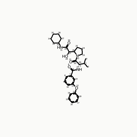 CC(C)[C@H](NC(=O)c1cccc(Oc2ccccc2)c1)C(=O)N1CCCC1C(O)C(=O)NC1CCCCC1